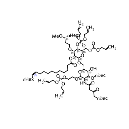 C=CCOC(=O)OC[C@H]1O[C@@H](OC[C@H]2O[C@H](OCCOP(=O)(OCC=C)OCC=C)[C@H](NC(=O)CC(=O)CCCCCCCCCCC)[C@@H](OCCCCCCCCCC)[C@@H]2O)[C@H](OC(=O)CCCCCCCCC/C=C\CCCCCC)[C@@H](OCC[C@@H](CCCCCCC)OC)[C@@H]1OP(=O)(OCC=C)OCC=C